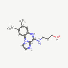 O=Cc1cc2c(cc1C(F)(F)F)nc(NCCCO)c1nccn12